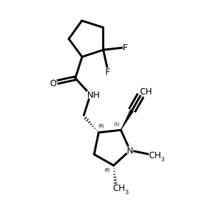 C#C[C@@H]1[C@@H](CNC(=O)C2CCCC2(F)F)C[C@@H](C)N1C